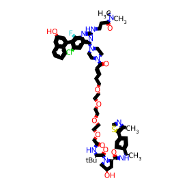 Cc1ncsc1-c1ccc([C@H](C)NC(=O)[C@@H]2C[C@@H](O)CN2C(=O)[C@@H](NC(=O)COCCOCCOCCOCC/C=C/C(=O)N2CCN(c3nc(NCCC(=O)N(C)C)nc4c(F)c(-c5cc(O)cc6ccccc56)c(Cl)cc34)CC2)C(C)(C)C)cc1